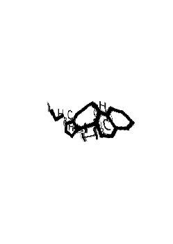 C[C@]12CC[C@H]3[C@@H](CCC4CCCC[C@@]43C)[C@@H]1CC[C@@H]2CCI